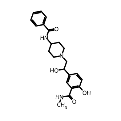 CNC(=O)c1cc(C(O)CN2CCC(NC(=O)c3ccccc3)CC2)ccc1O